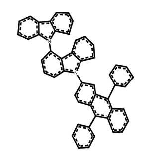 c1ccc(-c2c3ccccc3c(-c3ccccc3)c3cc(-n4c5ccccc5c5c(-n6c7ccccc7c7ccccc76)cccc54)ccc23)cc1